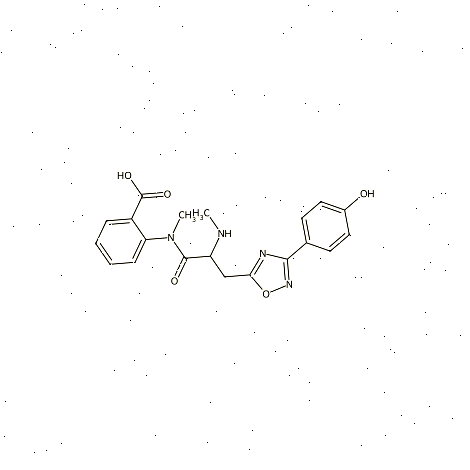 CNC(Cc1nc(-c2ccc(O)cc2)no1)C(=O)N(C)c1ccccc1C(=O)O